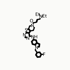 CCN(CC)CC=CC(=O)N1CCc2c(sc3ncnc(Nc4ccc5c(ccn5Cc5cccc(F)c5)c4)c23)C1